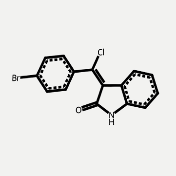 O=C1Nc2ccccc2/C1=C(\Cl)c1ccc(Br)cc1